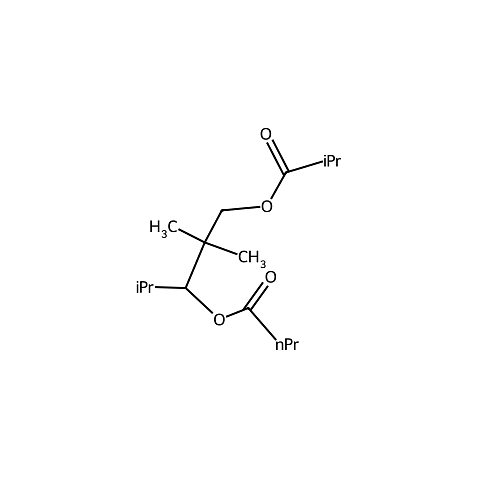 CCCC(=O)OC(C(C)C)C(C)(C)COC(=O)C(C)C